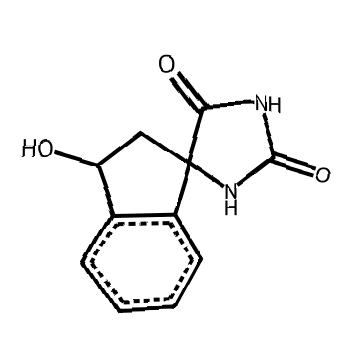 O=C1NC(=O)C2(CC(O)c3ccccc32)N1